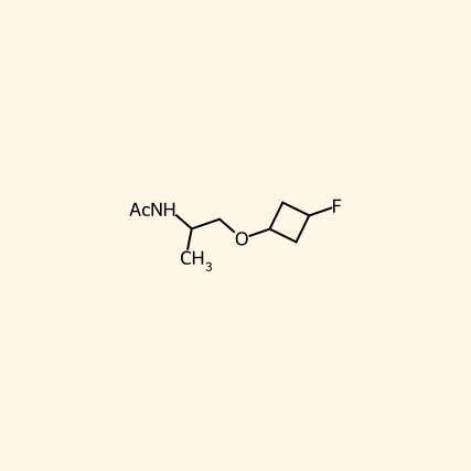 CC(=O)NC(C)COC1CC(F)C1